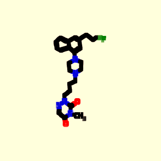 Cn1c(=O)cnn(CCCCN2CCN(c3cc(CCC[18F])cc4ccccc34)CC2)c1=O